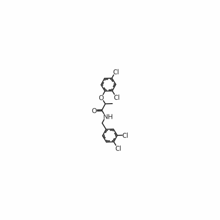 CC(Oc1ccc(Cl)cc1Cl)C(=O)NCc1ccc(Cl)c(Cl)c1